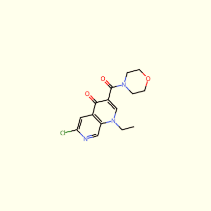 CCn1cc(C(=O)N2CCOCC2)c(=O)c2cc(Cl)ncc21